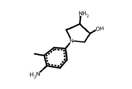 Cc1cc(N2CC(N)C(O)C2)ccc1N